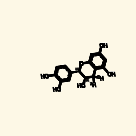 [2H]C1([2H])c2c(O)cc(O)cc2O[C@H](c2ccc(O)c(O)c2)[C@@H]1O